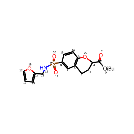 CC(C)COC(=O)C1CCc2cc(S(=O)(=O)NCc3ccco3)ccc2O1